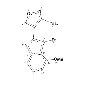 CCn1c(-c2nonc2N)nc2ccnc(OC)c21